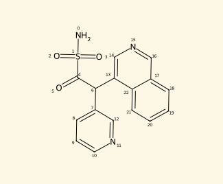 NS(=O)(=O)C(=O)C(c1cccnc1)c1cncc2ccccc12